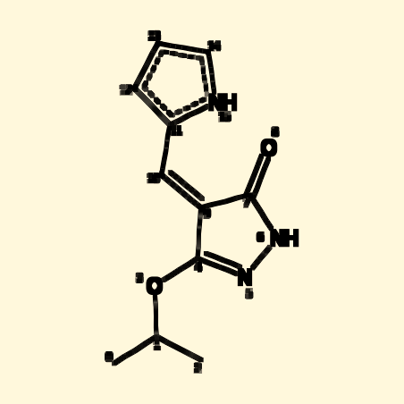 CC(C)OC1=NNC(=O)C1=Cc1ccc[nH]1